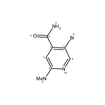 CNc1cc(C(N)=O)c(Br)cn1